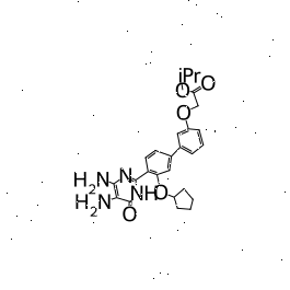 CC(C)OC(=O)COc1cccc(-c2ccc(-c3nc(N)c(N)c(=O)[nH]3)c(OC3CCCC3)c2)c1